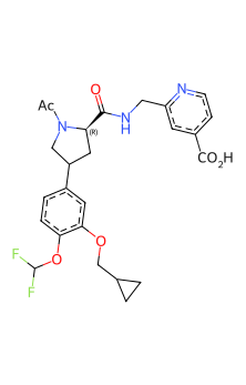 CC(=O)N1CC(c2ccc(OC(F)F)c(OCC3CC3)c2)C[C@@H]1C(=O)NCc1cc(C(=O)O)ccn1